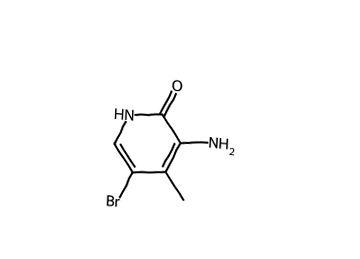 Cc1c(Br)c[nH]c(=O)c1N